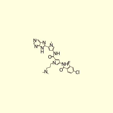 CN(C)CCCn1cc(NC(=O)c2ccc(Cl)cc2F)cc1C(=O)Nc1cc(-c2nc3cncnc3[nH]2)n(C)c1